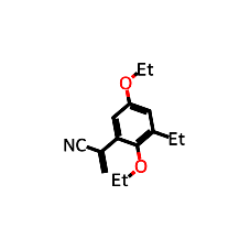 C=C(C#N)c1cc(OCC)cc(CC)c1OCC